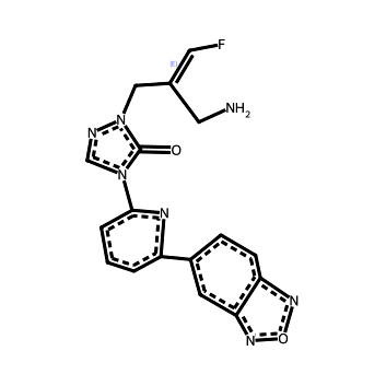 NC/C(=C\F)Cn1ncn(-c2cccc(-c3ccc4nonc4c3)n2)c1=O